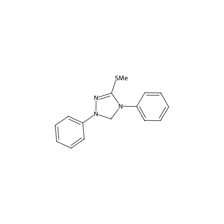 CSC1=NN(c2ccccc2)CN1c1ccccc1